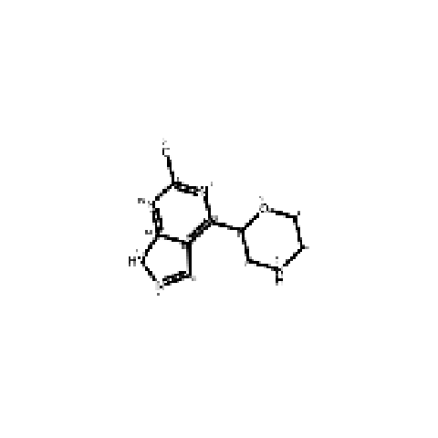 Clc1nc(C2CNCCO2)c2cn[nH]c2n1